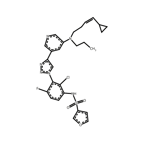 CCCN(CC/C=C\C1CC1)c1cncc(-c2cn(-c3c(F)ccc(NS(=O)(=O)c4ccoc4)c3Cl)nn2)c1